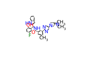 Cc1cc(C(=O)NC(c2cc3ccccc3[nH]2)c2cc(F)ccc2O)cc(-c2ncc(N3CC[C@@H](N(C)C)C3)cn2)c1